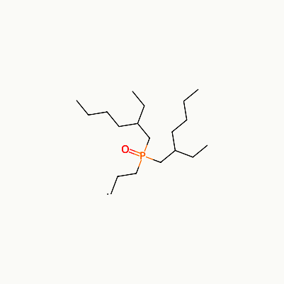 [CH2]CCP(=O)(CC(CC)CCCC)CC(CC)CCCC